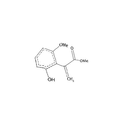 C=C(C(=O)OC)c1c(O)cccc1OC